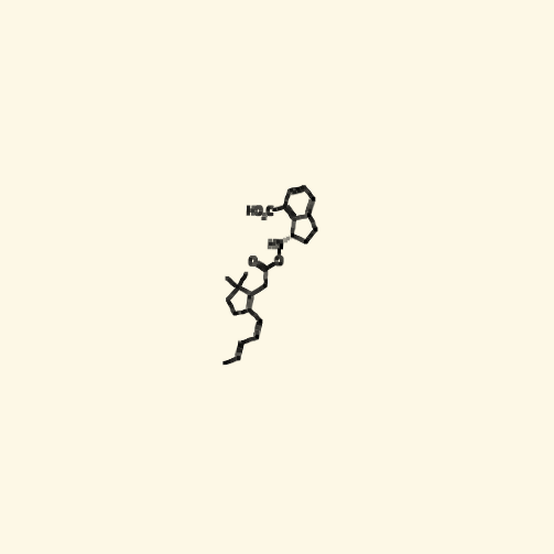 C/C=C/C=C\C1=C(CC(=O)ON[C@H]2CCc3cccc(C(=O)O)c32)C(C)(C)CC1